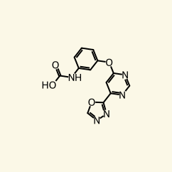 O=C(O)Nc1cccc(Oc2cc(-c3nnco3)ncn2)c1